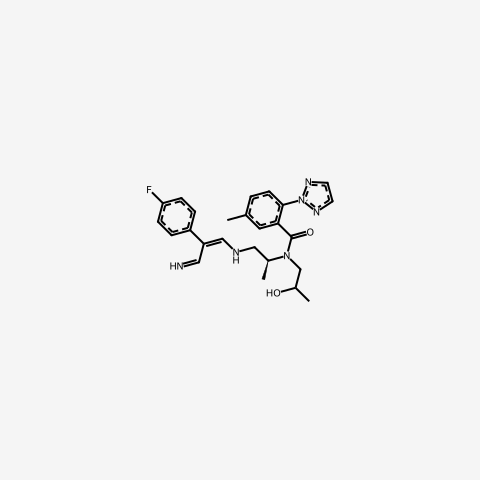 Cc1ccc(-n2nccn2)c(C(=O)N(CC(C)O)[C@@H](C)CN/C=C(\C=N)c2ccc(F)cc2)c1